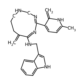 C=C1NC(C)=CC=C1C1=N/CNCCCC(=C)/C(NCc2c[nH]c3ccccc23)=N\1